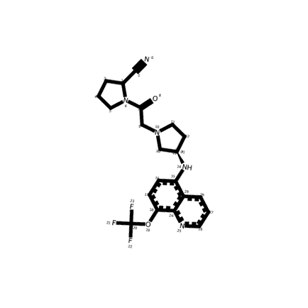 N#CC1CCCN1C(=O)CN1CC[C@@H](Nc2ccc(OC(F)(F)F)c3ncccc23)C1